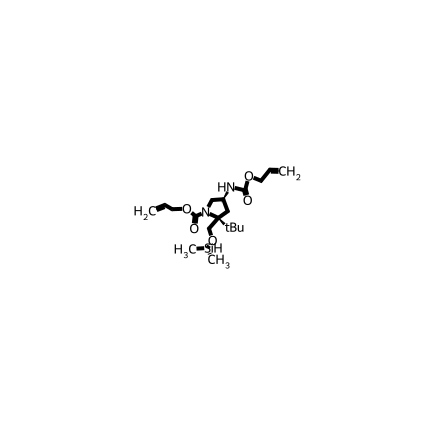 C=CCOC(=O)N[C@@H]1CN(C(=O)OCC=C)[C@](CO[SiH](C)C)(C(C)(C)C)C1